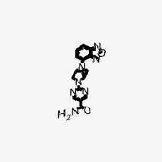 NC(=O)c1cnc(N2CC3CC2CN3c2cccc3nonc23)nc1